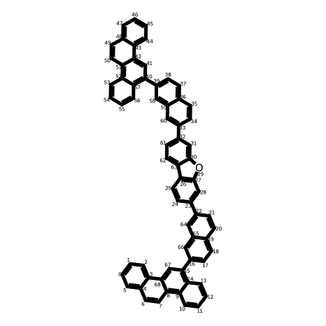 c1ccc2c(c1)ccc1c3ccccc3c(-c3ccc4ccc(-c5ccc6c(c5)oc5cc(-c7ccc8ccc(-c9cc%10c%11ccccc%11ccc%10c%10ccccc9%10)cc8c7)ccc56)cc4c3)cc21